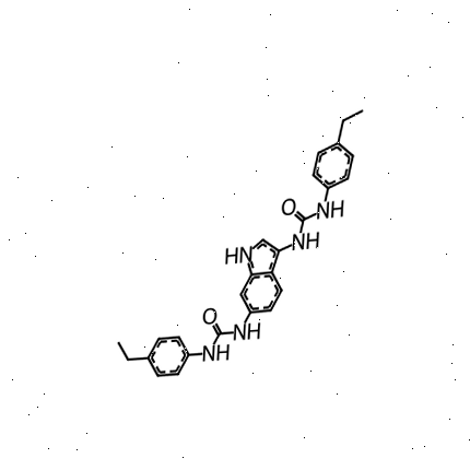 CCc1ccc(NC(=O)Nc2ccc3c(NC(=O)Nc4ccc(CC)cc4)c[nH]c3c2)cc1